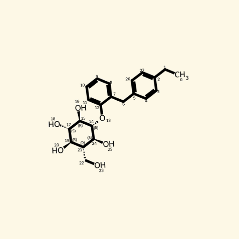 CCc1ccc(Cc2ccccc2O[C@H]2[C@H](O)[C@@H](O)[C@H](O)[C@@H](CO)[C@@H]2O)cc1